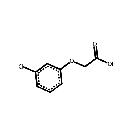 O=C(O)COc1cccc(Cl)c1